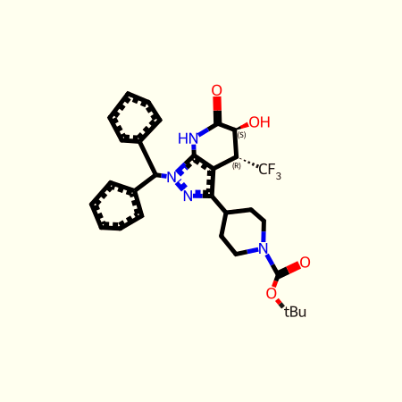 CC(C)(C)OC(=O)N1CCC(c2nn(C(c3ccccc3)c3ccccc3)c3c2[C@@H](C(F)(F)F)[C@H](O)C(=O)N3)CC1